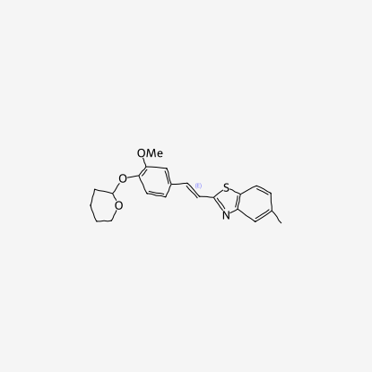 COc1cc(/C=C/c2nc3cc(C)ccc3s2)ccc1OC1CCCCO1